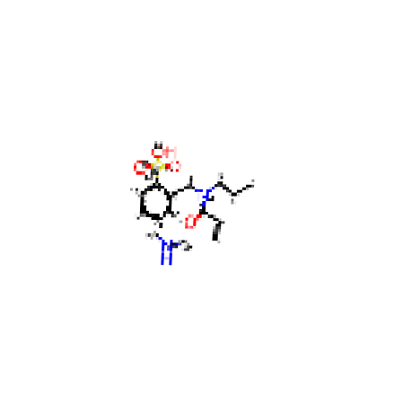 C=CC(=O)N(CCC)Cc1ccccc1S(=O)(=O)O.CNC